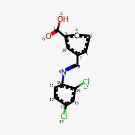 O=C(O)c1cccc(C=Nc2ccc(Cl)cc2Cl)c1